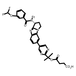 CCN(C(=O)c1cccc(OC(F)F)c1)[C@@H]1CCn2c1nc1ccc(-c3cnc(C(C)(C)OC(=O)CCC(=O)O)nc3)cc12